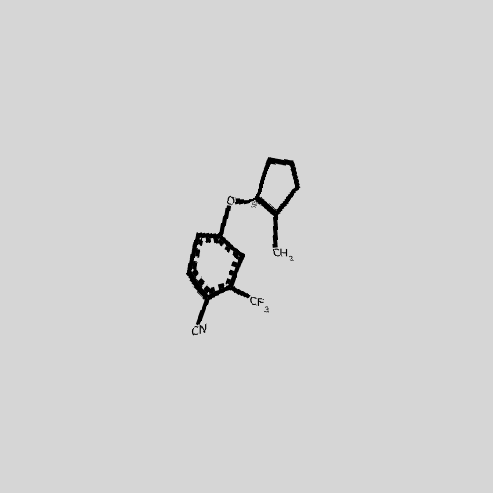 CC1CCC[C@@H]1Oc1ccc(C#N)c(C(F)(F)F)c1